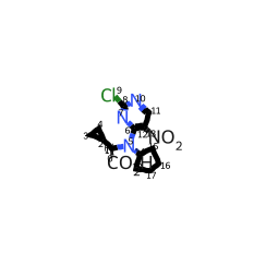 O=C(O)[C@@H](C1CC1)N(c1nc(Cl)ncc1[N+](=O)[O-])C1CCCC1